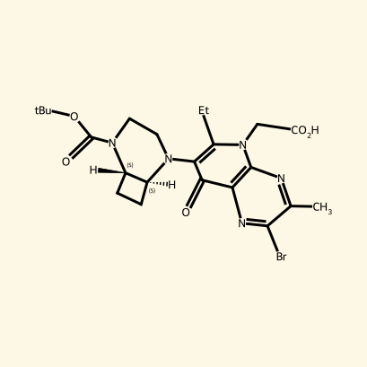 CCc1c(N2CCN(C(=O)OC(C)(C)C)[C@H]3CC[C@@H]32)c(=O)c2nc(Br)c(C)nc2n1CC(=O)O